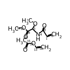 C=CC(=O)NC(OC)C(=O)OC.C=COC(C)=O